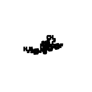 C=CCCC1(CC)CN(C(=O)NCc2ccc(SN)cc2)c2ccc(-c3ccc(F)cc3C(=O)O)cc21